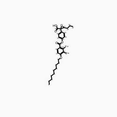 CCCCCCCCCCOc1ccc(C(=O)Oc2ccc(C3(C(=O)O)OC3CCC)cc2)c(F)c1F